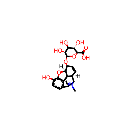 CN1CC[C@]23c4c5ccc(O)c4O[C@H]2[C@@H](O[C@@H]2OC(C(=O)O)[C@@H](O)C(O)[C@@H]2O)C=C[C@H]3C1C5